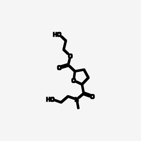 CN(CCO)C(=O)C1CCC(C(=O)OCCO)O1